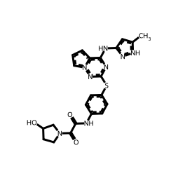 Cc1cc(Nc2nc(Sc3ccc(NC(=O)C(=O)N4CCC(O)C4)cc3)nn3cccc23)n[nH]1